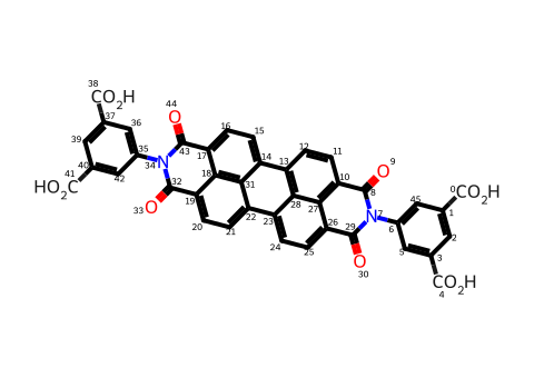 O=C(O)c1cc(C(=O)O)cc(N2C(=O)c3ccc4c5ccc6c7c(ccc(c8ccc(c3c48)C2=O)c75)C(=O)N(c2cc(C(=O)O)cc(C(=O)O)c2)C6=O)c1